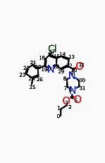 CCCOC(=O)N1CCN(C(=O)c2ccc3c(Cl)cc(-c4cccc(C)c4)nc3c2)CC1